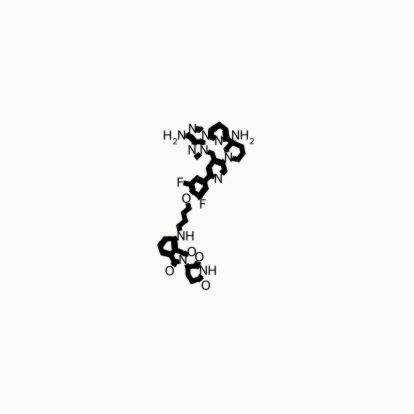 Nc1ncnc2c1ncn2Cc1cc(-c2cc(F)c(OCCCCNc3cccc4c3C(=O)N(C3CCC(=O)NC3=O)C4=O)c(F)c2)ncc1N1CCC[C@@](N)(c2ccccn2)C1